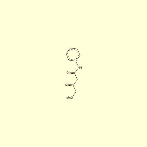 COCC(=O)CC(=O)Nc1ccccc1